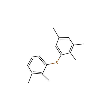 Cc1cc(C)c(C)c(Sc2cccc(C)c2C)c1